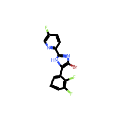 Fc1ccc(-c2nc(Br)c(-c3cccc(F)c3F)[nH]2)nc1